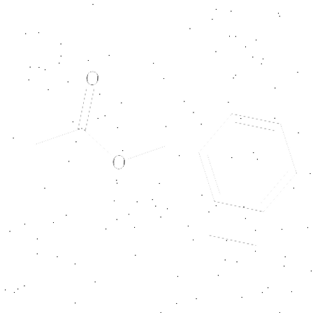 CC.COC(C)=O.c1ccccc1